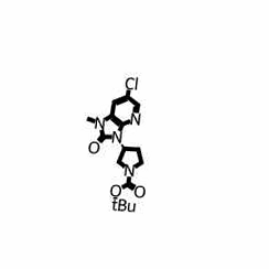 Cn1c(=O)n([C@@H]2CCN(C(=O)OC(C)(C)C)C2)c2ncc(Cl)cc21